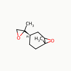 CC12CC[C@@H](C3(C)CO3)CC1O2